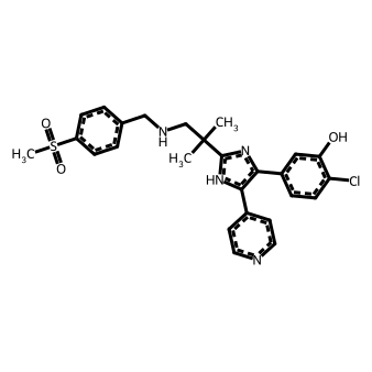 CC(C)(CNCc1ccc(S(C)(=O)=O)cc1)c1nc(-c2ccc(Cl)c(O)c2)c(-c2ccncc2)[nH]1